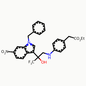 CCOC(=O)Cc1ccc(NCC(O)(c2cn(Cc3ccccc3)c3cc([N+](=O)[O-])ccc23)C(F)(F)F)cc1